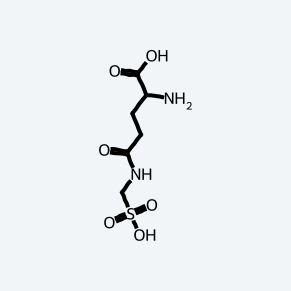 NC(CCC(=O)NCS(=O)(=O)O)C(=O)O